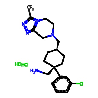 Cl.Cl.NC[C@]1(c2cccc(Cl)c2)CC[C@H](CN2CCn3c(nnc3C(F)(F)F)C2)CC1